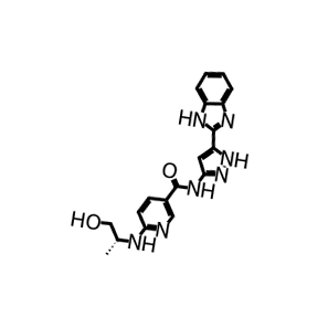 C[C@H](CO)Nc1ccc(C(=O)Nc2cc(-c3nc4ccccc4[nH]3)[nH]n2)cn1